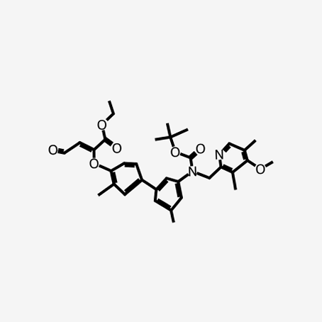 CCOC(=O)/C(=C/C=O)Oc1ccc(-c2cc(C)cc(N(Cc3ncc(C)c(OC)c3C)C(=O)OC(C)(C)C)c2)cc1C